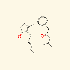 CC(C)CC(=O)Cc1ccccc1.CC/C=C/CC1=C(C)CCC1=O